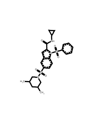 CC1CC(C)CN(S(=O)(=O)c2ccc3c(c2)cc(C(=O)NC2CC2)n3S(=O)(=O)c2ccccc2)C1